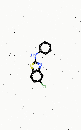 Clc1ccc2sc(Nc3ccccc3)nc2c1